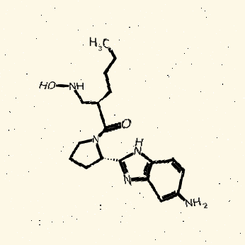 CCCC[C@H](CNO)C(=O)N1CCC[C@H]1c1nc2cc(N)ccc2[nH]1